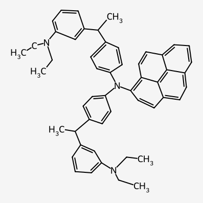 CCN(CC)c1cccc(C(C)c2ccc(N(c3ccc(C(C)c4cccc(N(CC)CC)c4)cc3)c3ccc4ccc5cccc6ccc3c4c56)cc2)c1